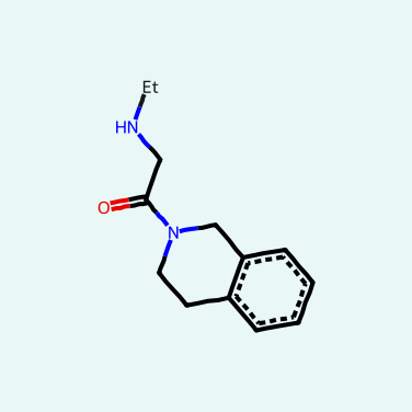 CCNCC(=O)N1CCc2ccccc2C1